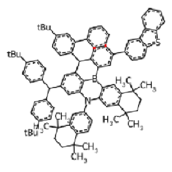 CC(C)(C)c1ccc(C(c2ccc(C(C)(C)C)cc2)c2cc3c4c(c2)N(c2ccc5c(c2)C(C)(C)CCC5(C)C)c2cc5c(cc2B4c2cc(-c4ccc6sc7ccccc7c6c4)ccc2C3c2ccc(C(C)(C)C)cc2-c2ccccc2)C(C)(C)CCC5(C)C)cc1